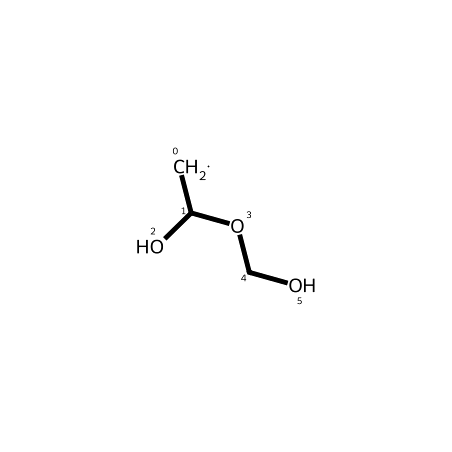 [CH2]C(O)OCO